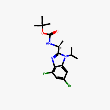 CC(C)n1c([C@H](C)NC(=O)OC(C)(C)C)nc2c(F)cc(Br)cc21